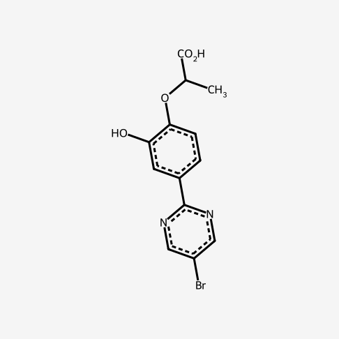 CC(Oc1ccc(-c2ncc(Br)cn2)cc1O)C(=O)O